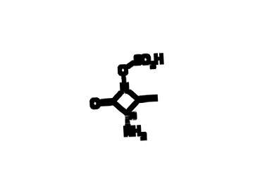 C=C1[C@H](N)C(=O)N1OS(=O)(=O)O